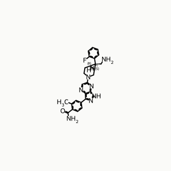 Cc1cc(-c2n[nH]c3nc(N4CC[C@@H]5[C@H](C4)[C@@]5(CN)c4ccccc4F)cnc23)ccc1C(N)=O